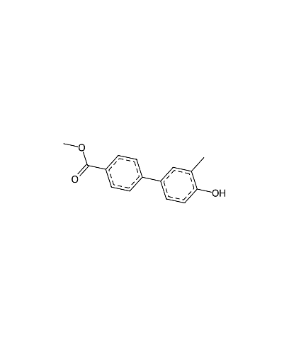 COC(=O)c1ccc(-c2ccc(O)c(C)c2)cc1